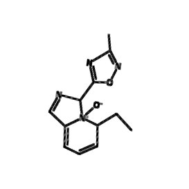 CCC1C=CC=C2C=NC(c3nc(C)no3)[N+]21[O-]